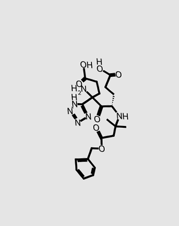 CC(C)(CC(=O)OCc1ccccc1)N[C@@H](CCC(=O)O)C(=O)C(N)(CCC(=O)O)c1nnn[nH]1